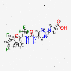 Cc1c([C@H](NC(=O)Nc2cnc(N3CC(C(=O)O)C3)nc2)C(F)(F)F)oc2c(F)cc(F)cc12